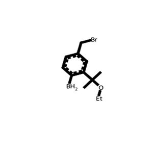 Bc1ccc(CBr)cc1C(C)(C)OCC